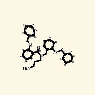 NCCCN(Cc1ccccc1SCc1ccccc1)C(=O)c1ccccc1OCc1ccccc1